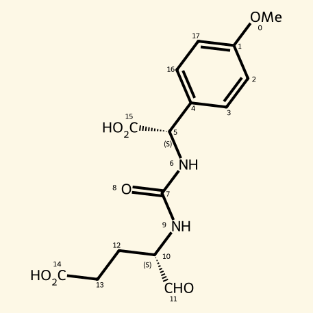 COc1ccc([C@H](NC(=O)N[C@H](C=O)CCC(=O)O)C(=O)O)cc1